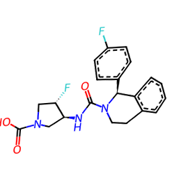 O=C(O)N1C[C@H](NC(=O)N2CCc3ccccc3[C@@H]2c2ccc(F)cc2)[C@@H](F)C1